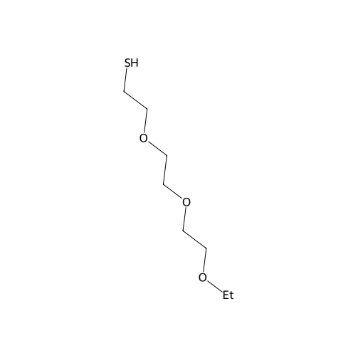 CCOCCOCCOCCS